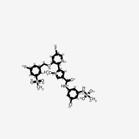 Cn1cc(C(=O)Nc2cc(Cl)cc(NS(C)(=O)=O)c2)cc1-c1ncc(F)cc1OCc1cc(F)cc(S(C)(=O)=O)c1